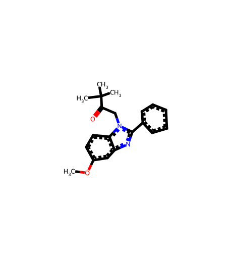 COc1ccc2c(c1)nc(-c1ccccc1)n2CC(=O)C(C)(C)C